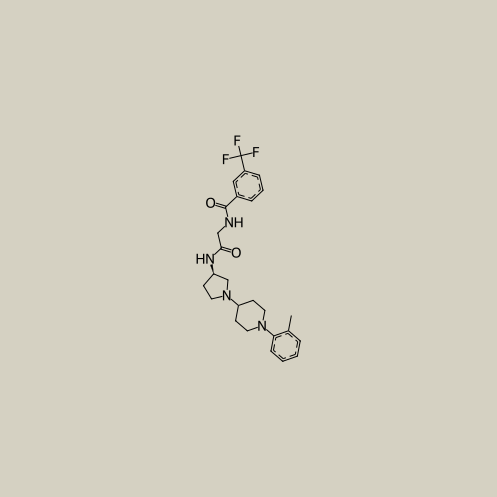 Cc1ccccc1N1CCC(N2CC[C@@H](NC(=O)CNC(=O)c3cccc(C(F)(F)F)c3)C2)CC1